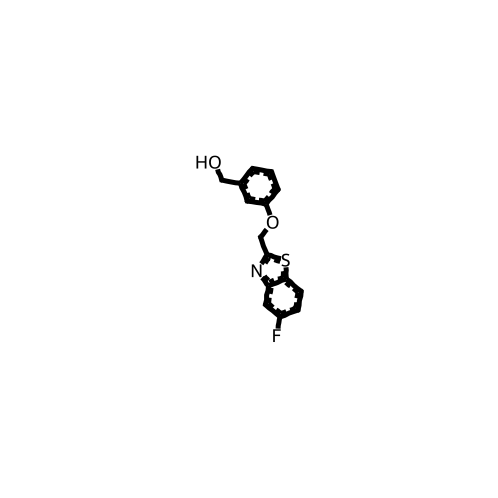 OCc1cccc(OCc2nc3cc(F)ccc3s2)c1